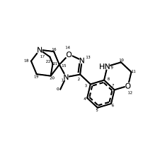 CN1C(c2cccc3c2NCCO3)=NOC12CN1CCC2CC1